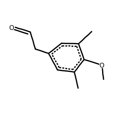 COc1c(C)cc(CC=O)cc1C